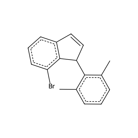 Cc1cccc(C)c1C1C=Cc2cccc(Br)c21